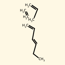 C=C.C=CC.C=CC=CCC